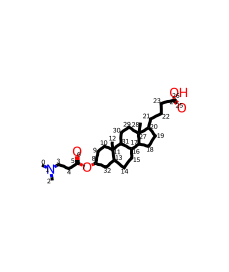 CN(C)CCC(=O)OC1CCC2(C)C(CCC3C4CCC(CCCC(=O)O)C4(C)CCC32)C1